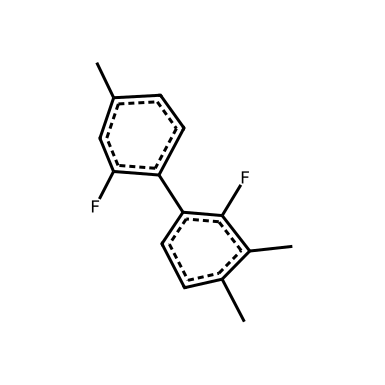 Cc1ccc(-c2ccc(C)c(C)c2F)c(F)c1